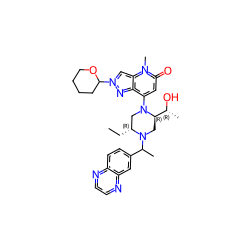 CC[C@@H]1CN(c2cc(=O)n(C)c3cn(C4CCCCO4)nc23)[C@@H]([C@@H](C)O)CN1C(C)c1ccc2nccnc2c1